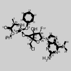 CC(C)OC(=O)[C@@H](C)N[P@@](=S)(Oc1ccccc1)OC1[C@@]2(CCl)O[C@@H](n3cnc4c(N(C)C)nc(N)nc43)[C@@H](F)[C@@]12O